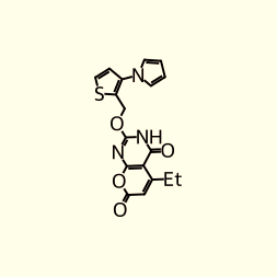 CCc1cc(=O)oc2nc(OCc3sccc3-n3cccc3)[nH]c(=O)c12